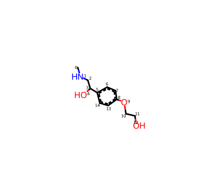 CNCC(O)c1ccc(OCCO)cc1